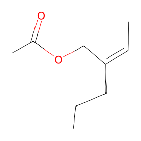 CC=C(CCC)COC(C)=O